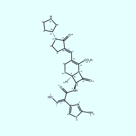 Nc1nc(/C(=N/O)C(=O)N[C@@H]2C(=O)N3C(C(=O)O)=C(/C=C4\CCN([C@@H]5CCNC5)C4=O)CS[C@H]23)cs1